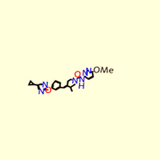 COc1ccc(NC(=O)N2CCC(=Cc3cccc(Oc4ncc(C5CC5)cn4)c3)C(C)C2)nn1